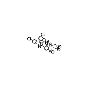 CCOc1cc(C(C)(C)OC)ccc1C1=N[C@@](C)(c2ccc(Cl)cc2)[C@@](C)(c2ccc(Cl)cc2)N1C(=O)N1CCN(C2CCS(=O)(=O)CC2)CC1